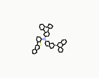 c1ccc2cc3c(cc2c1)sc1c(N(c2ccc4ccc(-c5cc6ccccc6c6ccccc56)cc4c2)c2ccc4c5ccccc5c5ccccc5c4c2)cccc13